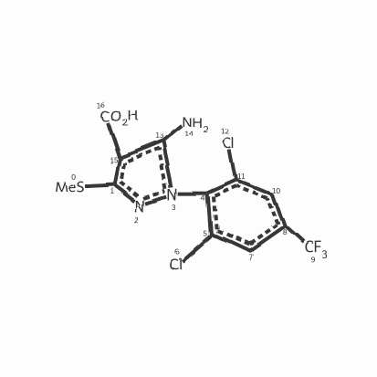 CSc1nn(-c2c(Cl)cc(C(F)(F)F)cc2Cl)c(N)c1C(=O)O